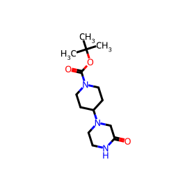 CC(C)(C)OC(=O)N1CCC(N2CCNC(=O)C2)CC1